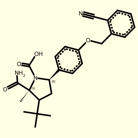 CC(C)(C)C1C[C@H](c2ccc(OCc3ccccc3C#N)cc2)N(C(=O)O)[C@]1(C)C(N)=O